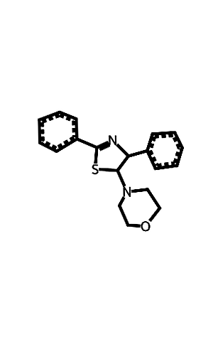 c1ccc(C2=NC(c3ccccc3)C(N3CCOCC3)S2)cc1